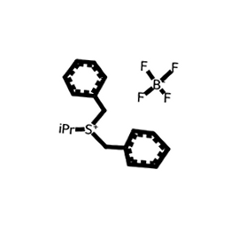 CC(C)[S+](Cc1ccccc1)Cc1ccccc1.F[B-](F)(F)F